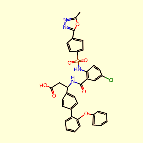 Cc1nnc(-c2ccc(S(=O)(=O)Nc3ccc(Cl)cc3C(=O)NC(CC(=O)O)c3ccc(-c4ccccc4Oc4ccccc4)cc3)cc2)o1